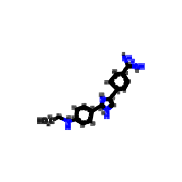 N=C(N)c1ccc(-c2c[nH]c(-c3ccc(NCC(=O)O)cc3)n2)cc1